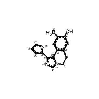 Bc1cc2c(cc1O)CCn1cnc(-c3cccs3)c1-2